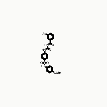 COc1ccc(NS(=O)(=O)c2ccc(NC(=S)NC(=O)c3cccc(C(C)=O)c3)cc2)cc1